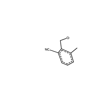 Cc1cccc(C#N)c1C[O]